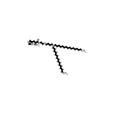 CCCCCCCCCCCCCCCCN(CCCCCCCCCCCCCCCC)CCCCOCCOC(=O)C(N)Cc1cnc[nH]1